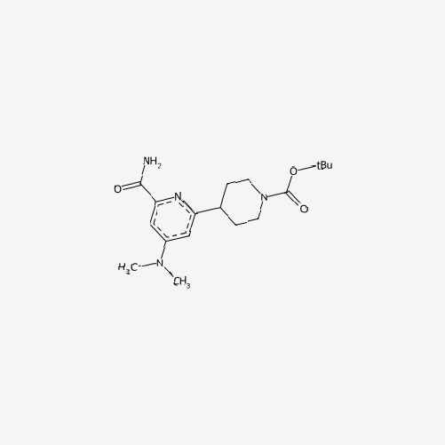 CN(C)c1cc(C(N)=O)nc(C2CCN(C(=O)OC(C)(C)C)CC2)c1